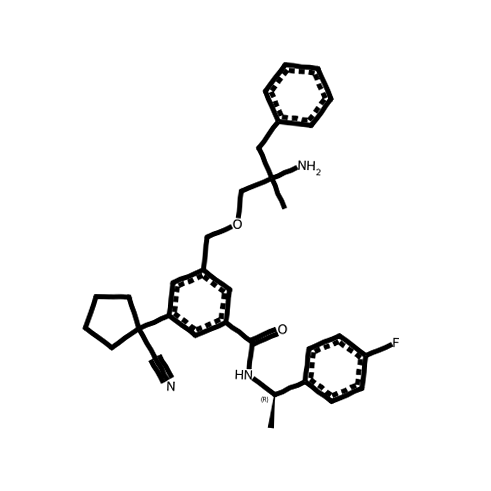 C[C@@H](NC(=O)c1cc(COCC(C)(N)Cc2ccccc2)cc(C2(C#N)CCCC2)c1)c1ccc(F)cc1